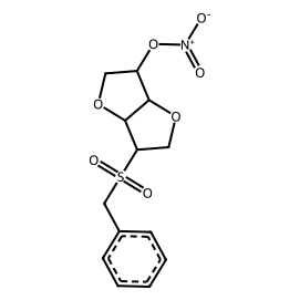 O=[N+]([O-])OC1COC2C1OCC2S(=O)(=O)Cc1ccccc1